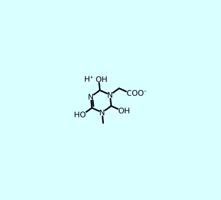 CN1C(O)=NC(O)N(CC(=O)[O-])C1O.[H+]